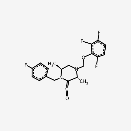 C[C@@H]1C(=C=O)N(Cc2ccc(F)cc2)[C@@H](C)CN1COc1c(F)ccc(F)c1F